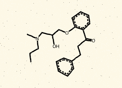 CCCN(C)CC(O)COc1ccccc1C(=O)CCc1ccccc1